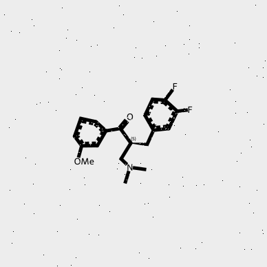 COc1cccc(C(=O)[C@@H](Cc2ccc(F)c(F)c2)CN(C)C)c1